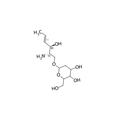 C/C=C/[C@@H](O)[C@@H](N)COC1CC(O)C(O)C(CO)O1